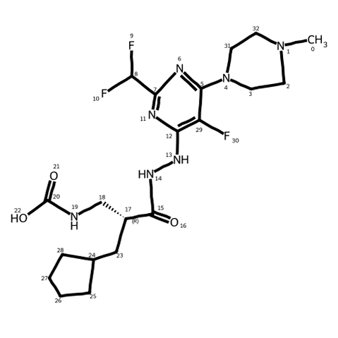 CN1CCN(c2nc(C(F)F)nc(NNC(=O)[C@@H](CNC(=O)O)CC3CCCC3)c2F)CC1